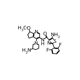 COC1CCc2c1ncc(NC(=O)c1nc(-c3c(F)cccc3F)sc1N)c2N1CCCC(N)C1